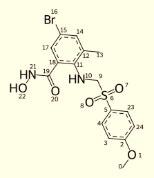 COc1ccc(S(=O)(=O)CNc2c(C)cc(Br)cc2C(=O)NO)cc1